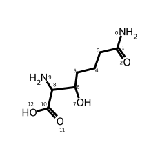 NC(=O)CCCC(O)C(N)C(=O)O